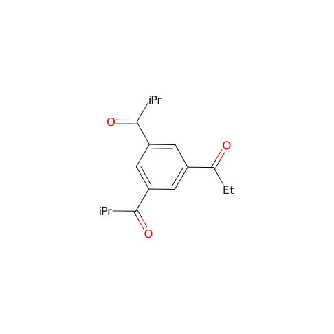 CCC(=O)c1cc(C(=O)C(C)C)cc(C(=O)C(C)C)c1